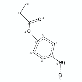 CCC(=O)Oc1ccc(NCl)cc1